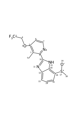 Cc1c(OCC(F)(F)F)ccnc1-c1nc2cccc([S+](C)[O-])c2[nH]1